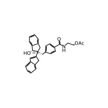 CC(=O)OCCNC(=O)c1ccc(C[C@@]2(C3=Cc4ccccc4C3)Cc3ccccc3[C@H]2O)cc1